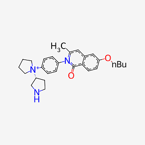 CCCCOc1ccc2c(=O)n(-c3ccc([N+]4([C@@H]5CCNC5)CCCC4)cc3)c(C)cc2c1